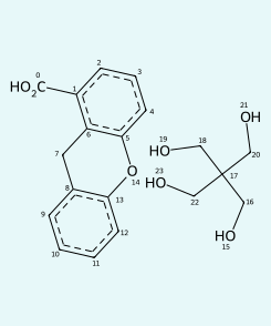 O=C(O)c1cccc2c1Cc1ccccc1O2.OCC(CO)(CO)CO